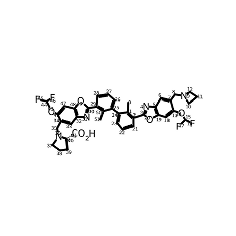 Cc1c(-c2nc3cc(CN4CCC4)c(OC(F)F)cc3o2)cccc1-c1cccc(-c2nc3cc(CN4CCC[C@H]4C(=O)O)c(OC(F)F)cc3o2)c1C